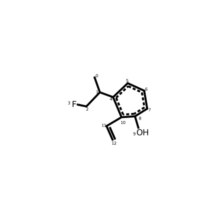 [CH2]C(CF)c1cccc(O)c1C=C